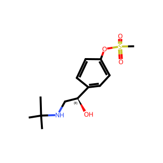 CC(C)(C)NC[C@H](O)c1ccc(OS(C)(=O)=O)cc1